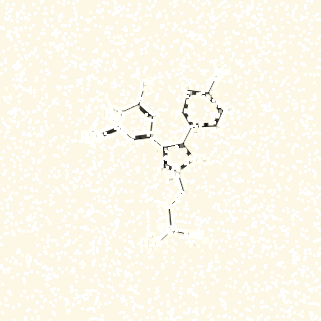 C=C/C=C(\C=C(/N)F)c1cn(CCN(C)C)nc1-c1ccc(F)cc1